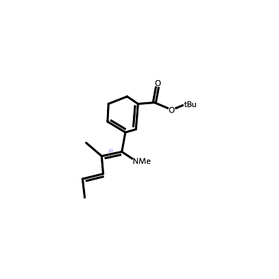 CC=C/C(C)=C(\NC)C1=CCCC(C(=O)OC(C)(C)C)=C1